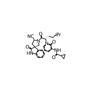 CC(C)CC[C@@H](C(=O)N1C[C@]2(C[C@H]1C#N)C(=O)Nc1ccccc12)n1cccc(NC(=O)C2CC2)c1=O